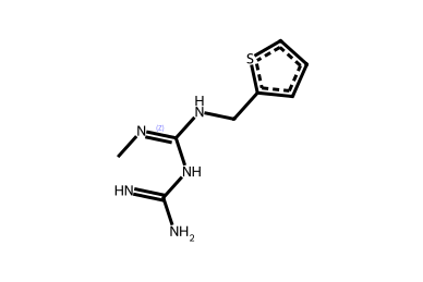 C/N=C(/NCc1cccs1)NC(=N)N